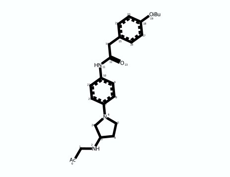 CC(=O)CNC1CCN(c2ccc(NC(=O)Cc3ccc(OCC(C)C)cc3)cc2)C1